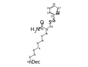 CCCCCCCCCCCCCCCCCCC(CSSc1ccccn1)C(N)=O